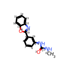 CNC(=O)Nc1cccc(-c2nc3ccccc3o2)c1